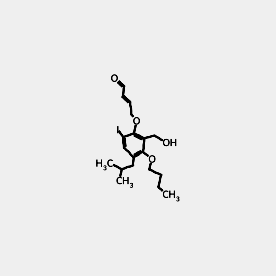 CCCCOc1c(CC(C)C)cc(I)c(OC/C=C/C=O)c1CO